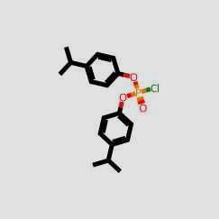 CC(C)c1ccc(OP(=O)(Cl)Oc2ccc(C(C)C)cc2)cc1